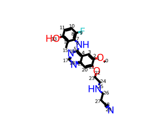 COc1cc2c(Nc3c(F)ccc(O)c3C)ncnc2cc1OCCNCCC#N